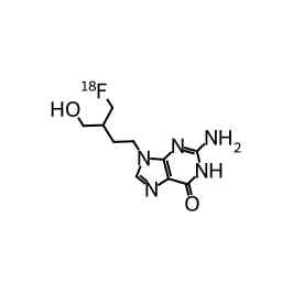 Nc1nc2c(ncn2CCC(CO)C[18F])c(=O)[nH]1